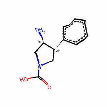 N[C@@H]1CN(C(=O)O)C[C@H]1c1ccccc1